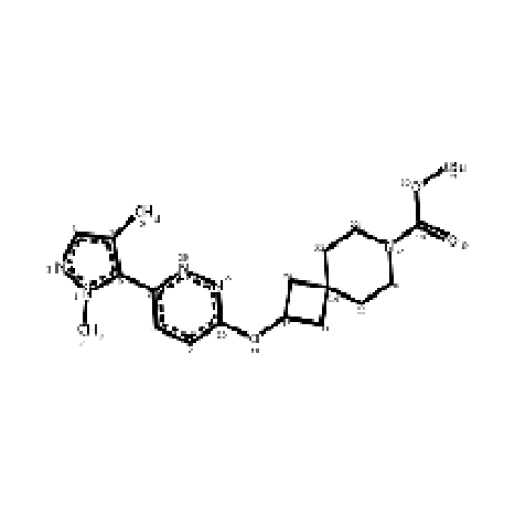 Cc1cnn(C)c1-c1ccc(OC2CC3(CCN(C(=O)OC(C)(C)C)CC3)C2)nn1